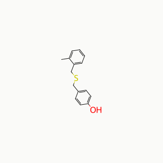 Cc1ccccc1CSCc1ccc(O)cc1